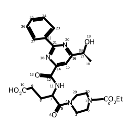 CCOC(=O)N1CCN(C(=O)C(CCC(=O)O)NC(=O)c2cc([C@H](C)O)nc(-c3ccccc3)n2)CC1